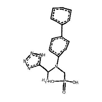 CC(c1nnn[nH]1)N(CP(=O)(O)O)c1ccc(-c2ccccc2)cc1